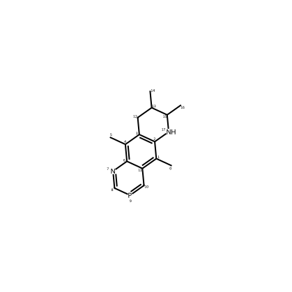 Cc1c2c(c(C)c3ncpcc13)CC(C)C(C)N2